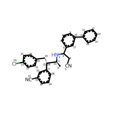 C[C@H](NC(CC#N)c1cccc(-c2ccccc2)c1)[C@@H](Cc1ccc(Cl)cc1)c1cccc(C#N)c1